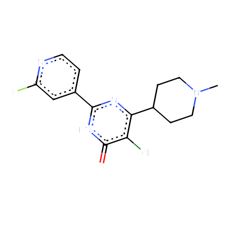 CN1CCC(c2nc(-c3ccnc(F)c3)[nH]c(=O)c2Cl)CC1